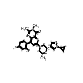 Cc1nc2c(-c3ccc(F)cc3F)cc(N3C[C@H](C)O[C@@H](c4cnn(C5CC5)c4)C3)nc2c(=O)n1C